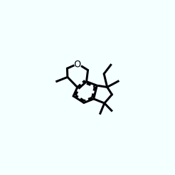 CCC1(C)CC(C)(C)c2ccc3c(c21)COCC3C